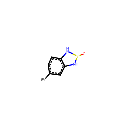 CC(C)c1ccc2c(c1)N[S+]([O-])N2